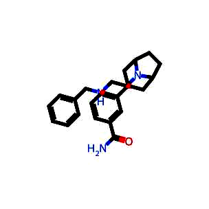 NC(=O)c1cccc(C2CC3CCC(C2)N3CCNCc2ccccc2)c1